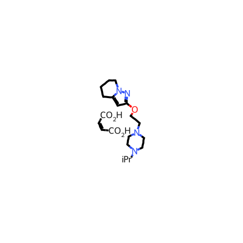 CC(C)N1CCN(CCOc2cc3n(n2)CCCC3)CC1.O=C(O)/C=C\C(=O)O